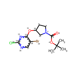 CC(C)(C)OC(=O)N1CCC(Oc2nc(Cl)ncc2Br)C1